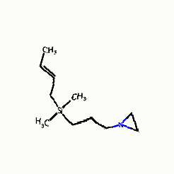 C/C=C/C[Si](C)(C)CCCN1CC1